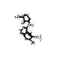 O=[N+]([O-])c1cc2c(Nc3cccc(Br)c3F)ncnc2cc1O